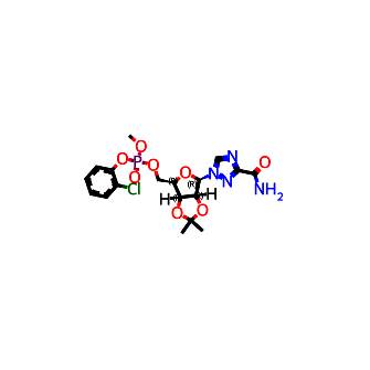 COP(=O)(OC[C@H]1O[C@@H](n2cnc(C(N)=O)n2)[C@@H]2OC(C)(C)O[C@@H]21)Oc1ccccc1Cl